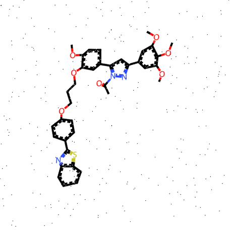 COc1ccc(-c2cc(-c3cc(OC)c(OC)c(OC)c3)nn2C(C)=O)cc1OCCCOc1ccc(-c2nc3ccccc3s2)cc1